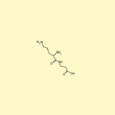 NCCCC(N)C(=O)NCCC(=O)O